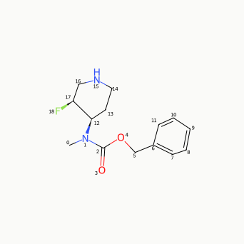 CN(C(=O)OCc1ccccc1)[C@@H]1CCNC[C@@H]1F